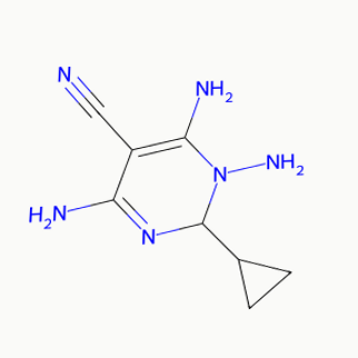 N#CC1=C(N)N(N)C(C2CC2)N=C1N